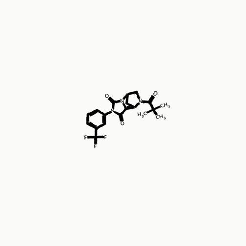 CC(C)(C)C(=O)N1CC2CC1=C1C(=O)N(c3cccc(C(F)(F)F)c3)C(=O)N12